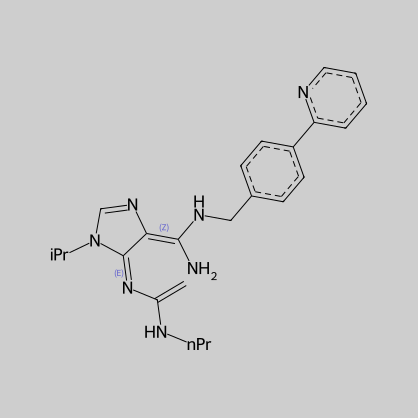 C=C(/N=C1\C(=C(/N)NCc2ccc(-c3ccccn3)cc2)N=CN1C(C)C)NCCC